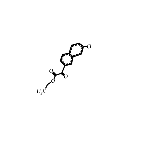 CCOC(=O)C(=O)c1ccc2ccc(Cl)cc2c1